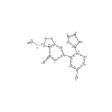 O=c1cc(-c2cc(Cl)ccc2-n2cnnn2)cc2n1[C@H](CO)CC2